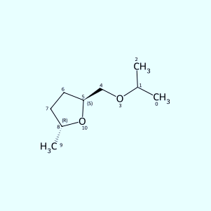 CC(C)OC[C@@H]1CC[C@@H](C)O1